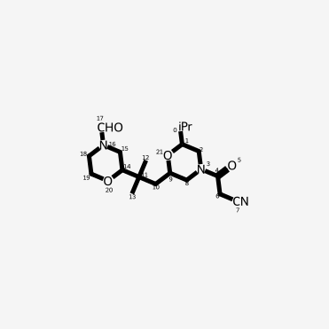 CC(C)C1CN(C(=O)CC#N)CC(CC(C)(C)C2CN(C=O)CCO2)O1